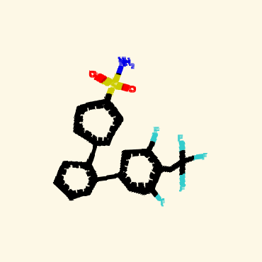 NS(=O)(=O)c1ccc(-c2ccccc2-c2cc(F)c(C(F)(F)F)c(F)c2)cc1